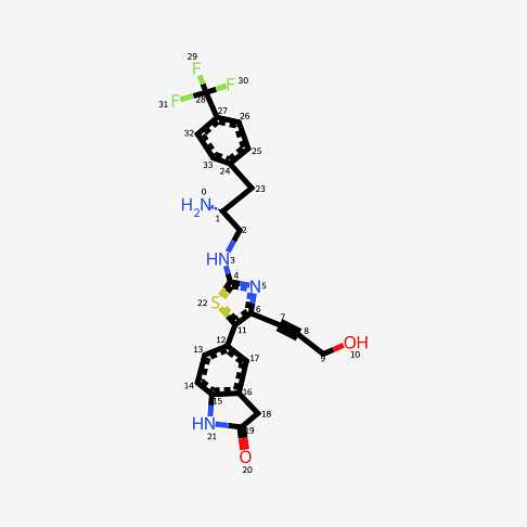 N[C@@H](CNc1nc(C#CCO)c(-c2ccc3c(c2)CC(=O)N3)s1)Cc1ccc(C(F)(F)F)cc1